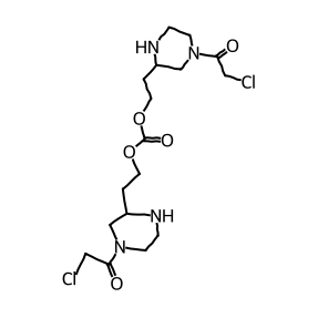 O=C(OCCC1CN(C(=O)CCl)CCN1)OCCC1CN(C(=O)CCl)CCN1